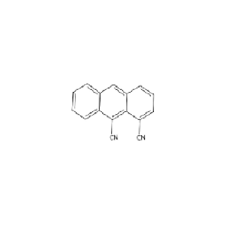 N#Cc1cccc2cc3ccccc3c(C#N)c12